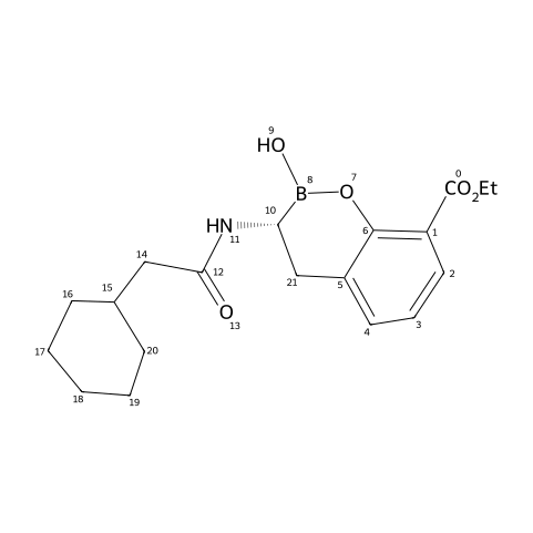 CCOC(=O)c1cccc2c1OB(O)[C@@H](NC(=O)CC1CCCCC1)C2